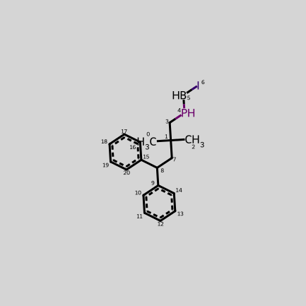 CC(C)(CPBI)CC(c1ccccc1)c1ccccc1